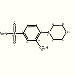 CNS(=O)(=O)c1ccc(N2CCOCC2)c(C(=O)O)c1